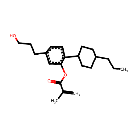 C=C(C)C(=O)Oc1cc(CCCO)ccc1C1CCC(CCC)CC1